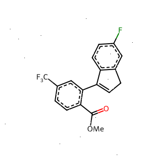 COC(=O)c1ccc(C(F)(F)F)cc1C1=CCc2cc(F)ccc21